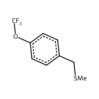 CSCc1ccc(OC(F)(F)F)cc1